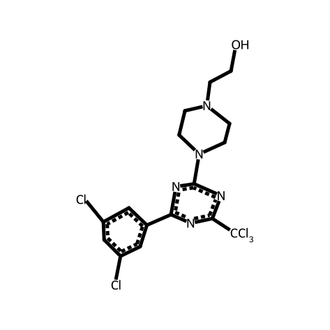 OCCN1CCN(c2nc(-c3cc(Cl)cc(Cl)c3)nc(C(Cl)(Cl)Cl)n2)CC1